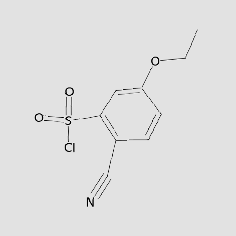 CCOc1ccc(C#N)c(S(=O)(=O)Cl)c1